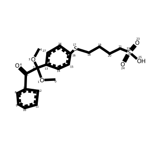 COC(OC)(C(=O)c1ccccc1)c1ccc(SCCCCS(=O)(=O)O)cc1